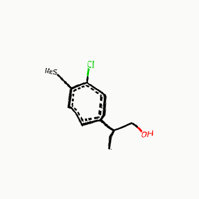 [CH2]C(CO)c1ccc(SC)c(Cl)c1